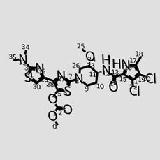 COC(=O)Oc1sc(N2CC[C@@H](NC(=O)c3[nH]c(C)c(Cl)c3Cl)[C@@H](OC)C2)nc1-c1csc(N(C)C)n1